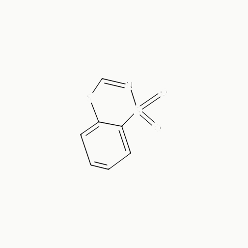 O=S1(=O)N=CSc2ccccc21